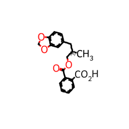 C[C@@H](COC(=O)c1ccccc1C(=O)O)Cc1ccc2c(c1)OCO2